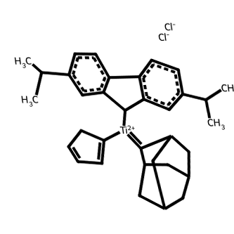 CC(C)c1ccc2c(c1)[CH]([Ti+2]([C]1=CC=CC1)=[C]1C3CC4CC(C3)CC1C4)c1cc(C(C)C)ccc1-2.[Cl-].[Cl-]